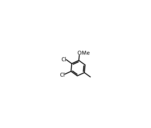 COc1cc(C)cc(Cl)c1Cl